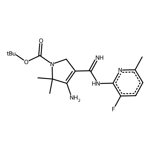 Cc1ccc(F)c(NC(=N)C2=C(N)C(C)(C)N(C(=O)OC(C)(C)C)C2)n1